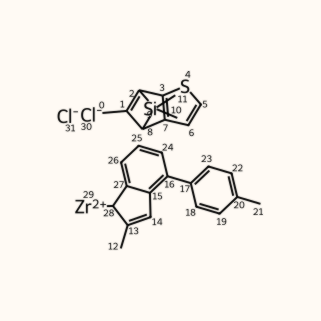 CC1=C2c3sccc3C1[Si]2(C)C.CC1=Cc2c(-c3ccc(C)cc3)cccc2[CH]1[Zr+2].[Cl-].[Cl-]